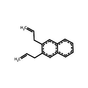 C=CCc1[c]c2ccccc2cc1CC=C